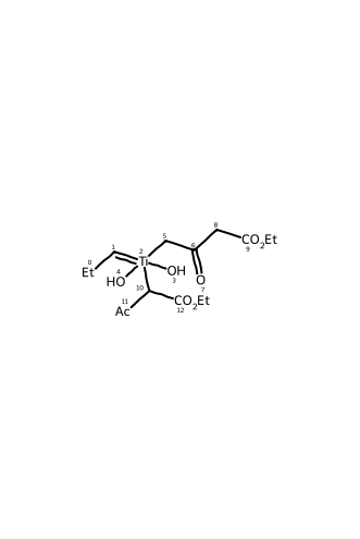 CC[CH]=[Ti]([OH])([OH])([CH2]C(=O)CC(=O)OCC)[CH](C(C)=O)C(=O)OCC